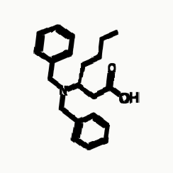 CCCC[C@@H](CC(=O)O)N(Cc1ccccc1)Cc1ccccc1